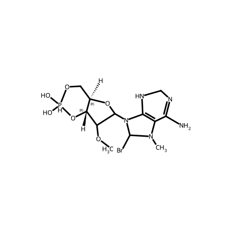 COC1C(N2C3=C(C(N)=NCN3)N(C)C2Br)O[C@@H]2CO[PH](O)(O)O[C@@H]12